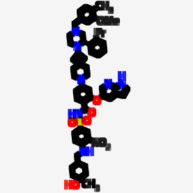 COc1cc(CN2CCN(C3CC4(CCN(c5ccc(C(=O)NS(=O)(=O)c6ccc(NCC7CCC(C)(O)CC7)c([N+](=O)[O-])c6)c(Oc6cnc7[nH]ccc7c6)c5)CC4)C3)[C@H](c3ccccc3C(C)C)C2)ccc1C